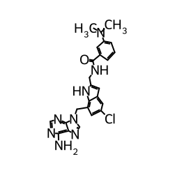 CN(C)c1cccc(C(=O)NCc2cc3cc(Cl)cc(Cn4cnc5c(N)ncnc54)c3[nH]2)c1